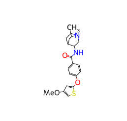 COc1csc(Oc2ccc(C(=O)NC3CN4CCC3CC4C)cc2)c1